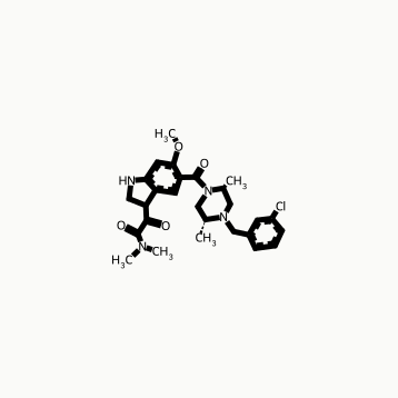 COc1cc2c(cc1C(=O)N1C[C@@H](C)N(Cc3cccc(Cl)c3)C[C@@H]1C)C(C(=O)C(=O)N(C)C)CN2